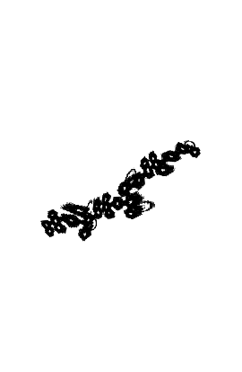 Cc1ccccc1-c1cc(-c2ccc(-c3c4ccccc4c(-c4ccc(-c5c(-c6cccc7oc8cc(-c9ccc(-c%10c%11ccccc%11c(-c%11ccc(-c%12ccc%13oc%14ccccc%14c%13c%12)cc%11)c%11ccccc%10%11)c%10ccccc9%10)ccc8c67)ccc6oc7ccccc7c56)cc4)c4ccccc34)c3ccccc23)c2oc3ccccc3c2c1-c1ccc(-c2c3ccccc3c(-c3cccc4ccccc34)c3ccccc23)cc1